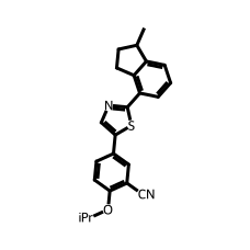 CC(C)Oc1ccc(-c2cnc(-c3cccc4c3CCC4C)s2)cc1C#N